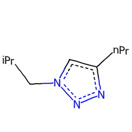 CCCc1cn(CC(C)C)nn1